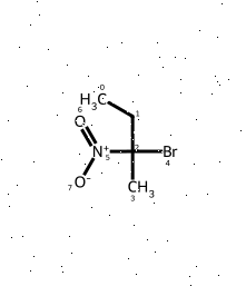 CCC(C)(Br)[N+](=O)[O-]